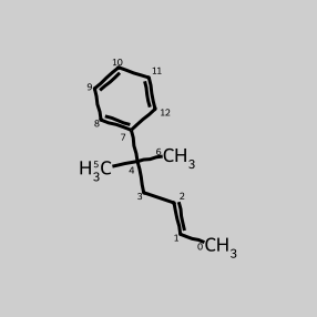 C/C=C/CC(C)(C)c1ccccc1